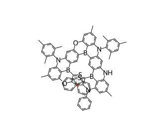 Cc1cc(C)c(N2c3cc4c(cc3B3c5cc6c(cc5Oc5cc(C)cc2c53)N(c2c(C)cc(C)cc2C)c2cc(C)cc3c2B6c2sc5ccccc5c2O3)B2c3sc5ccccc5c3N(c3ccccc3)c3cc(C)cc(c32)N4)c(C)c1